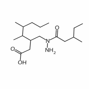 CCCC(C)C(C)C(CC(=O)O)CN(N)C(=O)CC(C)CC